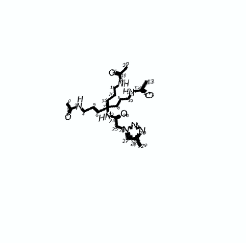 CC(=O)NCCCC(CCCNC(C)=O)(CCCNC(C)=O)NC(=O)Cn1cc(C)nn1